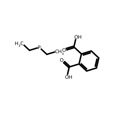 CC[P]CC.O=C(O)c1ccccc1C(=O)O